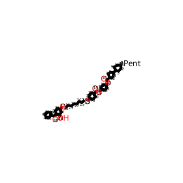 CCCCCC1CCC(C2CCC(C(=O)Oc3ccc(OC(=O)c4ccc(OCCCCCCCCOc5ccc(C(=O)c6ccccc6)c(O)c5)cc4)cc3)CC2)CC1